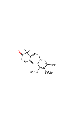 COc1c(C(C)C)cc2c(c1OC)C=C1C=CC(=O)C(C)(C)C1=CC2